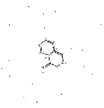 O=C1COC=C2C=CC=NN12